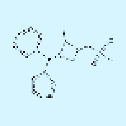 CC1C(CS(C)(=O)=O)CN1C(c1ccccc1)c1ccccc1